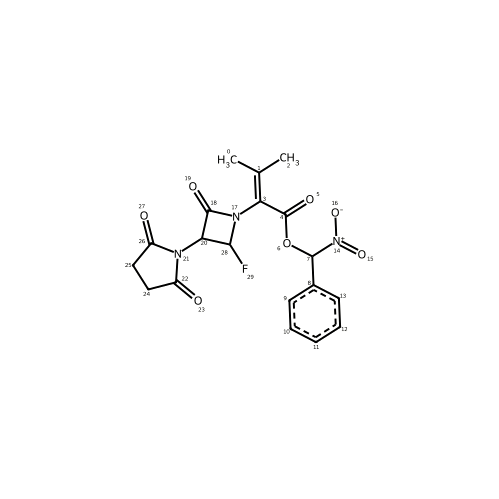 CC(C)=C(C(=O)OC(c1ccccc1)[N+](=O)[O-])N1C(=O)C(N2C(=O)CCC2=O)C1F